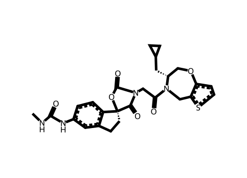 CNC(=O)Nc1ccc2c(c1)CC[C@@]21OC(=O)N(CC(=O)N2Cc3sccc3OC[C@H]2CC2CC2)C1=O